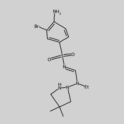 CCN(C=NS(=O)(=O)c1ccc(N)c(Br)c1)N1CC(C)(C)CN1